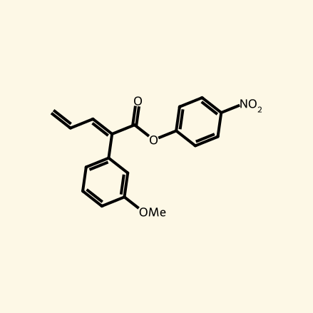 C=CC=C(C(=O)Oc1ccc([N+](=O)[O-])cc1)c1cccc(OC)c1